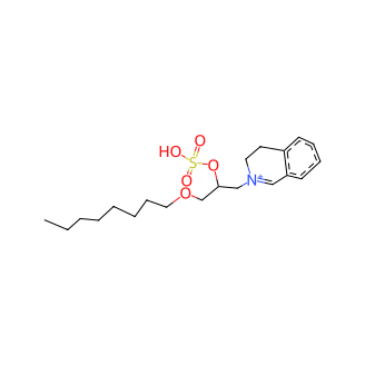 CCCCCCCCOCC(C[N+]1=Cc2ccccc2CC1)OS(=O)(=O)O